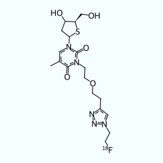 Cc1cn(C2CC(O)[C@@H](CO)S2)c(=O)n(CCOCCc2cn(CC[18F])nn2)c1=O